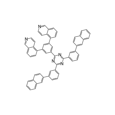 c1cc(-c2ccc3ccccc3c2)cc(-c2nc(-c3cccc(-c4ccc5ccccc5c4)c3)nc(-c3cc(-c4cccc5cnccc45)cc(-c4cccc5cnccc45)c3)n2)c1